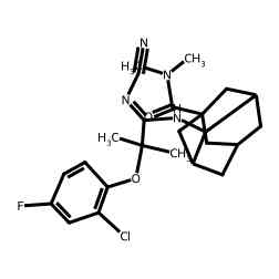 CN(C)C(=O)C12CC3CC(C1)C(N/C(=N\C#N)C(C)(C)Oc1ccc(F)cc1Cl)C(C3)C2